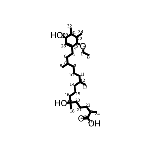 CCOC1C(CCC(C)CCCC(C)CCCC(C)(O)CCCC(C)C(=O)O)=CC(O)C(C)C1C